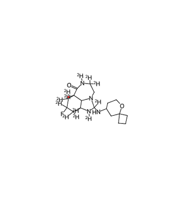 [2H]N1C(=O)C2([2H])C3N(CC1([2H])[2H])C([2H])(NC1CCOC4(CCC4)C1)N([2H])C3([2H])C([2H])([2H])C([2H])(F)C2([2H])[2H]